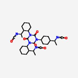 CC(N=C=O)C1CCC(n2c(=O)n(C3CCCCC3C(C)N=C=O)c(=O)n(C3CCCCC3C(C)N=C=O)c2=O)CC1